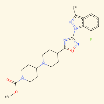 CCC(C)c1nn(-c2noc(C3CCN(C4CCN(C(=O)OC(C)(C)C)CC4)CC3)n2)c2c(F)cccc12